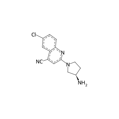 N#Cc1cc(N2CC[C@@H](N)C2)nc2ccc(Cl)cc12